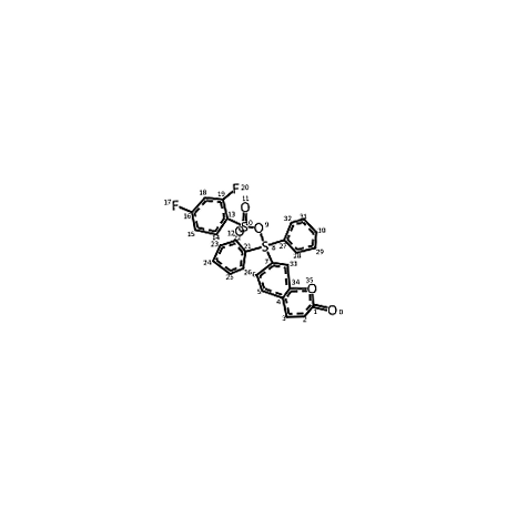 O=c1ccc2ccc(S(OS(=O)(=O)c3ccc(F)cc3F)(c3ccccc3)c3ccccc3)cc2o1